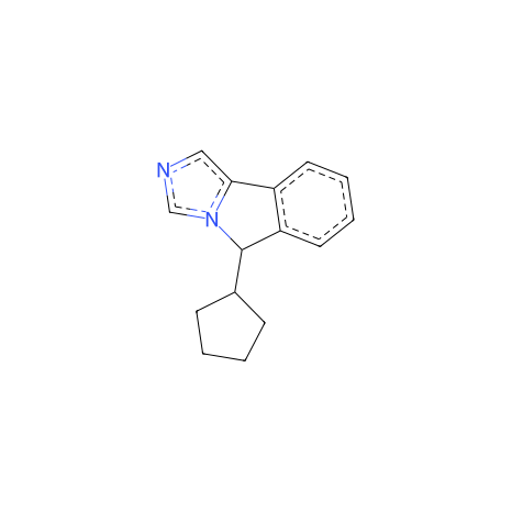 c1ccc2c(c1)-c1cncn1C2C1CCCC1